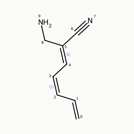 C=C/C=C\C=C(\C#N)CN